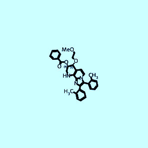 COCCO[C@H]1c2ccn3c(-c4ccccc4C)c(-c4ccccc4C)nc3c2NC[C@H]1OC(=O)c1ccccc1